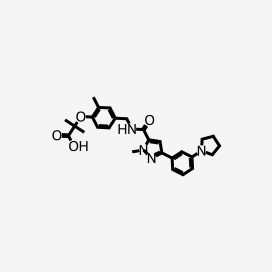 Cc1cc(CNC(=O)c2cc(-c3cccc(N4CCCC4)c3)nn2C)ccc1OC(C)(C)C(=O)O